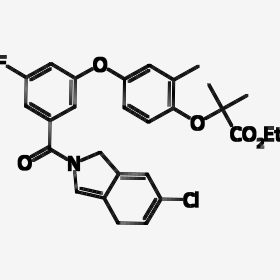 CCOC(=O)C(C)(C)Oc1ccc(Oc2cc(F)cc(C(=O)N3C=C4CC=C(Cl)C=C4C3)c2)cc1C